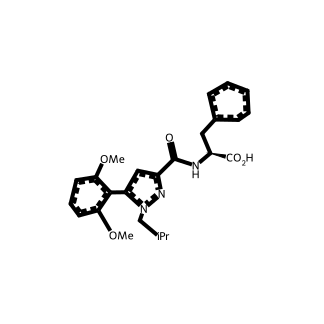 COc1cccc(OC)c1-c1cc(C(=O)N[C@@H](Cc2ccccc2)C(=O)O)nn1CC(C)C